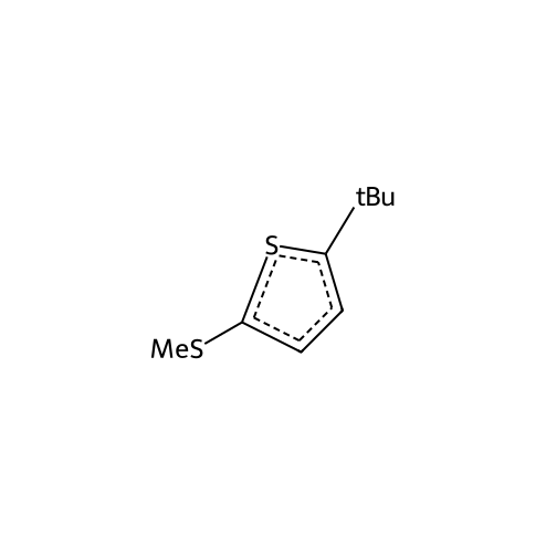 CSc1ccc(C(C)(C)C)s1